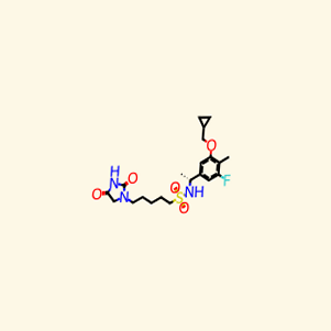 Cc1c(F)cc([C@@H](C)NS(=O)(=O)CCCCCN2CC(=O)NC2=O)cc1OCC1CC1